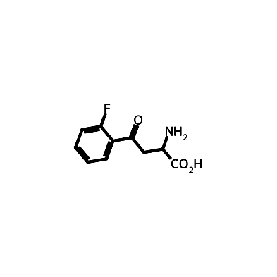 NC(CC(=O)c1ccccc1F)C(=O)O